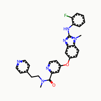 CN(CCc1ccncc1)C(=O)c1cc(Oc2ccc3c(c2)nc(Nc2ccccc2F)n3C)ccn1